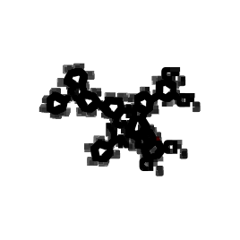 FC(F)(F)c1cc(-c2ccc3c(c2)c2cc(-c4cc(C(F)(F)F)cc(C(F)(F)F)c4)ccc2n3-c2ccc(-c3ccc4c(c3)c3ccccc3n4-c3ccccc3)cc2-c2nc(-c3ccccc3)nc(-c3ccccc3)n2)cc(C(F)(F)F)c1